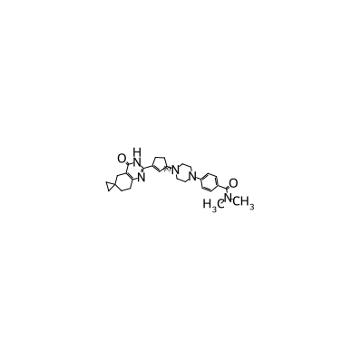 CN(C)C(=O)c1ccc(N2CCN([C@H]3C=C(c4nc5c(c(=O)[nH]4)CC4(CC5)CC4)CC3)CC2)cc1